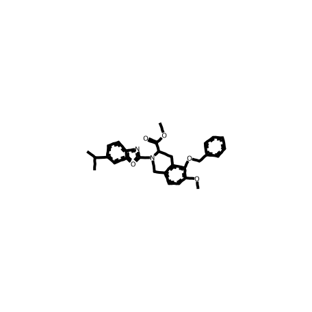 COC(=O)C1Cc2c(ccc(OC)c2OCc2ccccc2)CN1c1nc2ccc(C(C)C)cc2o1